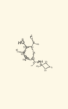 CC(=O)c1cc(C(C)NC2(C)CCC2)cc(C)c1O